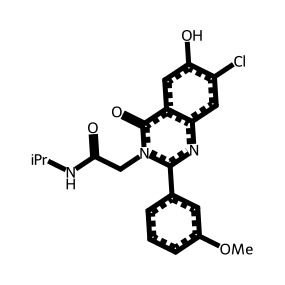 COc1cccc(-c2nc3cc(Cl)c(O)cc3c(=O)n2CC(=O)NC(C)C)c1